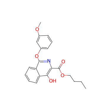 CCCCOC(=O)c1nc(Oc2cccc(OC)c2)c2ccccc2c1O